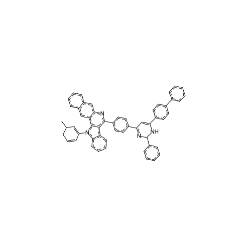 CC1C=C(n2c3ccccc3c3c(-c4ccc(C5=NC(c6ccccc6)NC(c6ccc(-c7ccccc7)cc6)=C5)cc4)nc4cc5ccccc5cc4c32)C=CC1